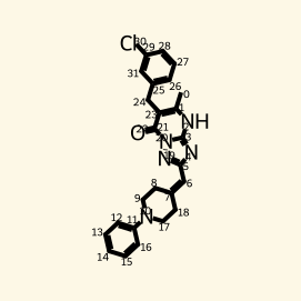 Cc1[nH]c2nc(C=C3CCN(c4ccccc4)CC3)nn2c(=O)c1Cc1cccc(Cl)c1